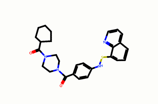 O=C(c1ccc(NSc2cccc3cccnc23)cc1)N1CCN(C(=O)C2CCCCC2)CC1